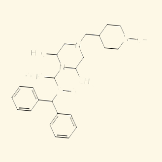 CC1CN(CC2CCN(C)CC2)CC(C)N1C(C=O)[S+]([O-])C(c1ccccc1)c1ccccc1